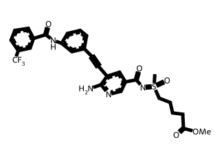 COC(=O)CCCCS(C)(=O)=NC(=O)c1cnc(N)c(C#Cc2cccc(NC(=O)c3cccc(C(F)(F)F)c3)c2)c1